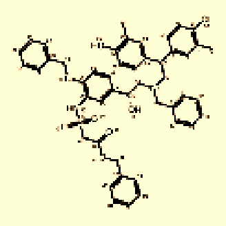 Cc1cc(C(CN(Cc2ccccc2)C[C@H](O)c2ccc(OCc3ccccc3)c(NS(=O)(=O)CC(=O)OCc3ccccc3)c2)c2ccc(O)c(C)c2)ccc1O